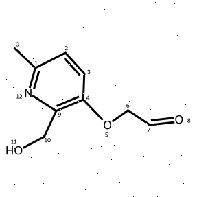 Cc1ccc(OCC=O)c(CO)n1